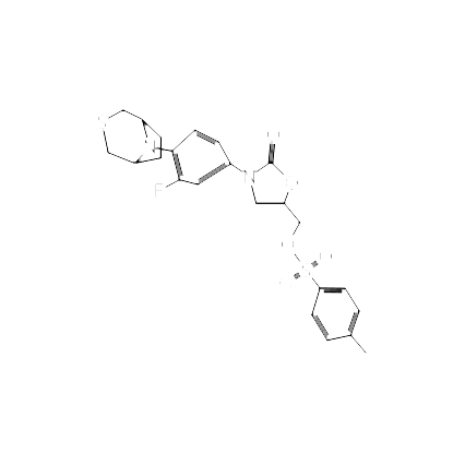 Cc1ccc(S(=O)(=O)OCC2CN(c3ccc(N4C5CCC4CSC5)c(F)c3)C(=O)O2)cc1